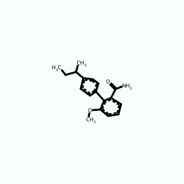 CCC(C)c1ccc(-c2c(OC)cccc2C(N)=O)cc1